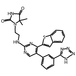 CC1(C)C(=O)NC(=O)N1CCNc1ncc(-c2cccc(-c3nnn[nH]3)c2)c(-c2cc3ccccc3s2)n1